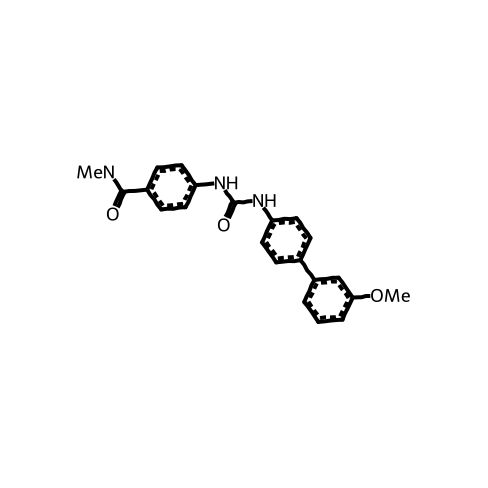 CNC(=O)c1ccc(NC(=O)Nc2ccc(-c3cccc(OC)c3)cc2)cc1